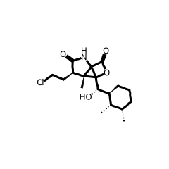 C[C@@H]1[C@@H]([C@H](O)C23OC(=O)C24NC(=O)[C@H](CCCl)[C@]43C)CCC[C@@H]1C